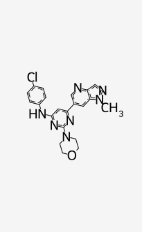 Cn1ncc2ncc(-c3cc(Nc4ccc(Cl)cc4)nc(N4CCOCC4)n3)cc21